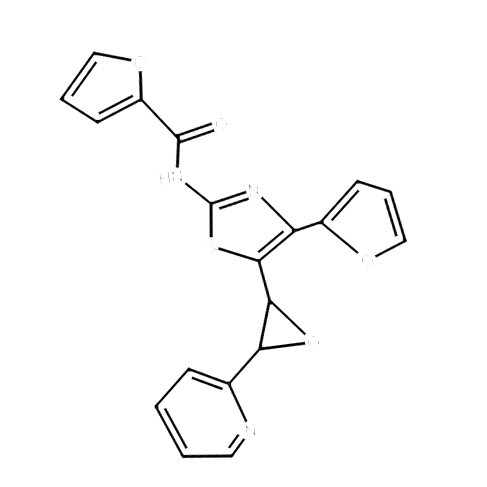 O=C(Nc1nc(-c2ccco2)c(C2OC2c2ccccn2)s1)c1ccco1